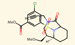 C#CCN1C[C@H](COC)[C@@H]2CCCC(C1=O)N2S(=O)(=O)c1cc(Cl)cc(C(=O)OC)c1